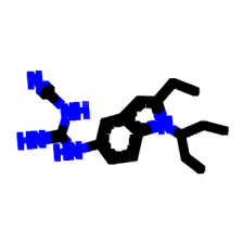 CCc1cc2cc(NC(=N)NC#N)ccc2n1C(CC)CC